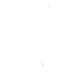 COc1cc(Cl)ccc1C(=O)NO